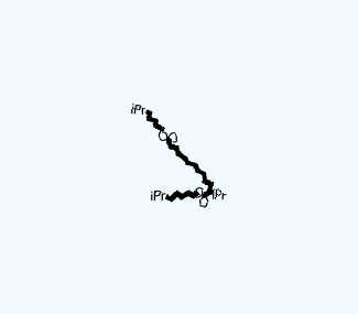 CC(C)CCCCCOC(=O)CCCCCCCCCCC(C(=O)OCCCCCC(C)C)C(C)C